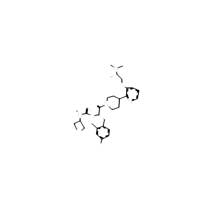 CN(C(=O)N[C@H](Cc1ccc(Cl)cc1Cl)C(=O)N1CCC(c2ncccc2OC[C@@H](I)N(C)C)CC1)C1COC1